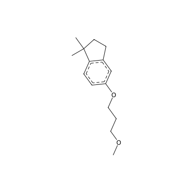 COCCCOc1ccc2c(c1)CCC2(C)C